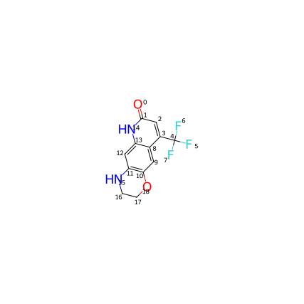 O=c1cc(C(F)(F)F)c2cc3c(cc2[nH]1)NCCO3